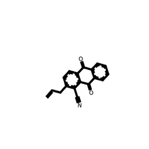 C=CCc1ccc2c(c1C#N)C(=O)c1ccccc1C2=O